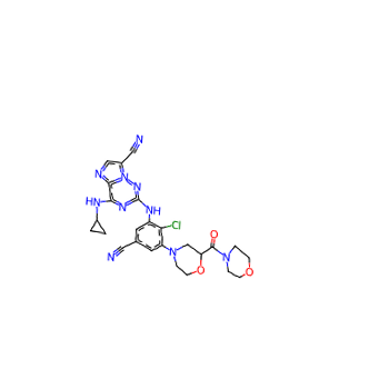 N#Cc1cc(Nc2nc(NC3CC3)c3ncc(C#N)n3n2)c(Cl)c(N2CCOC(C(=O)N3CCOCC3)C2)c1